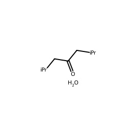 CC(C)CC(=O)CC(C)C.O